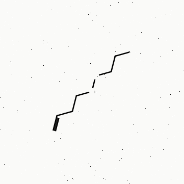 C=CCC[SiH2]OCCC